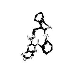 Cc1[nH]c2ccccc2c1C=NNc1nc2nonc2nc1Nc1ccccc1I